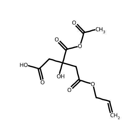 C=CCOC(=O)CC(O)(CC(=O)O)C(=O)OC(C)=O